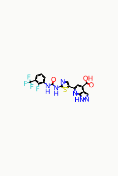 O=C(Nc1ncc(-c2cc(C(=O)O)c3cn[nH]c3n2)s1)Nc1cccc(C(F)(F)F)c1F